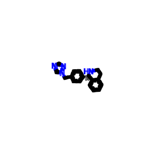 c1ccc2c(c1)CCN[C@H]2c1ccc(Cn2cncn2)cc1